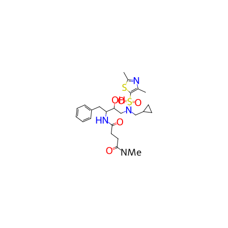 CNC(=O)CCC(=O)NC(Cc1ccccc1)C(O)CN(CC1CC1)S(=O)(=O)c1sc(C)nc1C